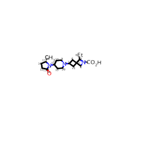 CCC1N(C(=O)O)CC12CC(N1CCC(N3C(=O)CC[C@@H]3C)CC1)C2